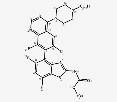 CC(C)(C)OC(=O)Nc1nc2c(-c3c(Cl)cc4c(N5CCN(C(=O)O)CC5)ncnc4c3F)c(F)cc(F)c2s1